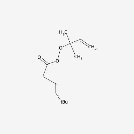 C=CC(C)(C)OOC(=O)CCCC(C)(C)C